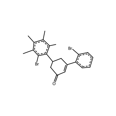 Cc1c(C)c(C)c(C2CC(=O)C=C(c3ccccc3Br)C2)c(Br)c1C